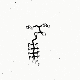 CC(C)(C)CC(C(=O)OCCC(F)(F)C(F)(F)C(F)(F)C(F)(F)C(F)(F)F)C(C)(C)C